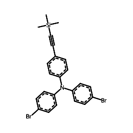 C[Si](C)(C)C#Cc1ccc(N(c2ccc(Br)cc2)c2ccc(Br)cc2)cc1